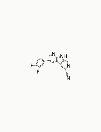 N#Cc1cc2c(cn1)[nH]c1ncc(-c3ccc(F)c(F)c3)cc12